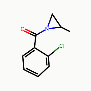 CC1CN1C(=O)c1ccccc1Cl